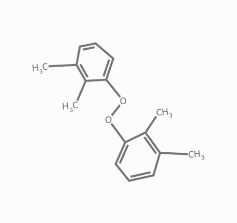 Cc1cccc(OOc2cccc(C)c2C)c1C